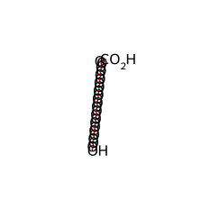 O=C(O)CCC(=O)OCCOCCOCCOCCOCCOCCOCCOCCOCCOCCOCCOCCOCCOCCOCCOCCOCCOCCOCCOCCOCCOCCO